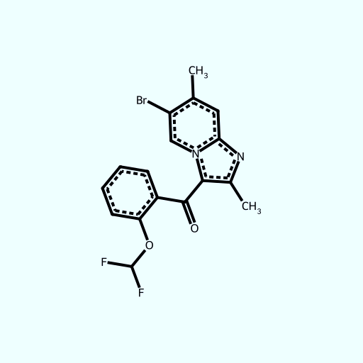 Cc1cc2nc(C)c(C(=O)c3ccccc3OC(F)F)n2cc1Br